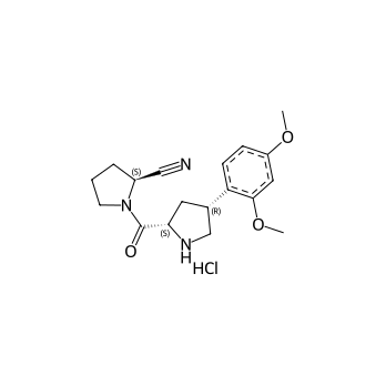 COc1ccc([C@@H]2CN[C@H](C(=O)N3CCC[C@H]3C#N)C2)c(OC)c1.Cl